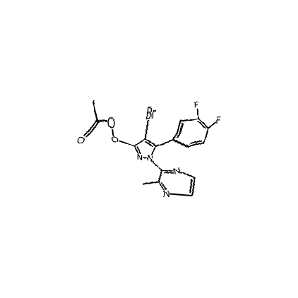 CC(=O)OOc1nn(-c2nccnc2C)c(-c2ccc(F)c(F)c2)c1Br